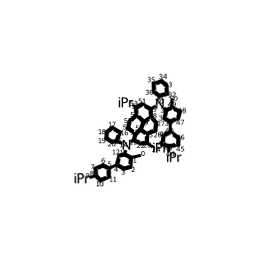 Cc1ccc(-c2ccc(C(C)C)cc2)cc1N(c1ccccc1)c1cc(C(C)C)c2ccc3c(N(c4ccccc4)c4cc(-c5ccc(C(C)C)cc5)ccc4C)cc(C(C)C)c4ccc1c2c43